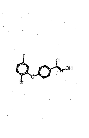 O/N=C(\Cl)c1ccc(Oc2cc(F)ccc2Br)cc1